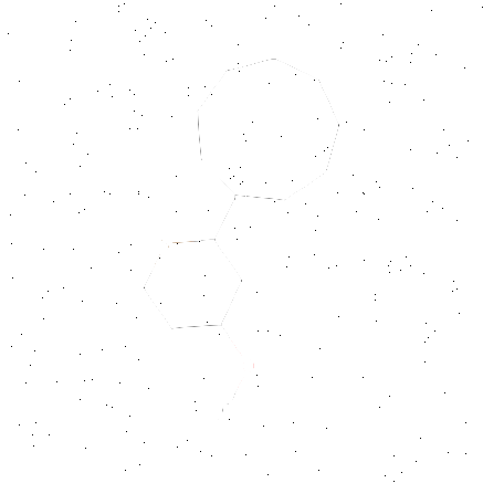 COC1CCSC([C]2CCCCCCCC2)C1